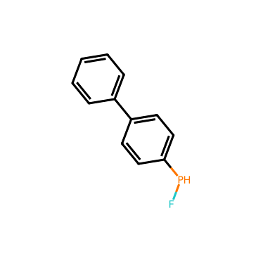 FPc1ccc(-c2ccccc2)cc1